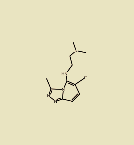 Cc1nnc2ccc(Cl)c(NCCN(C)C)n12